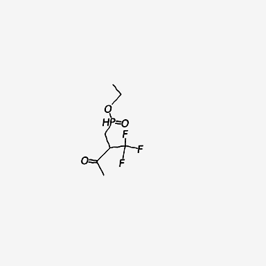 CCO[PH](=O)CC(C(C)=O)C(F)(F)F